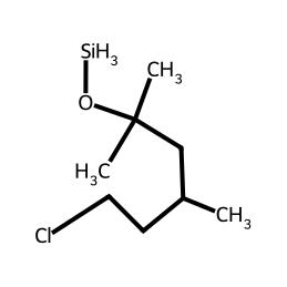 CC(CCCl)CC(C)(C)O[SiH3]